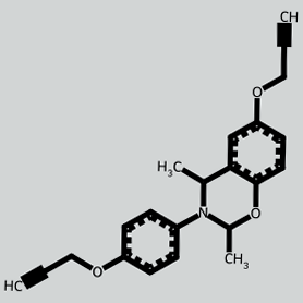 C#CCOc1ccc(N2C(C)Oc3ccc(OCC#C)cc3C2C)cc1